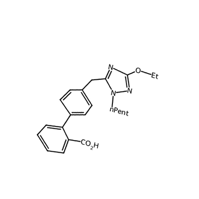 CCCCCn1nc(OCC)nc1Cc1ccc(-c2ccccc2C(=O)O)cc1